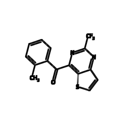 Cc1ccccc1C(=O)c1nc(C(F)(F)F)nc2ccsc12